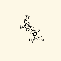 CCOc1ccc(C(C)C)cc1S(=O)(=O)NC(=O)c1cc2c(F)cc(N(C)C)cc2o1